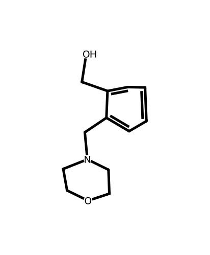 OCc1ccccc1CN1CCOCC1